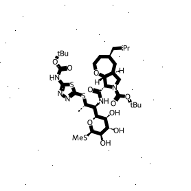 CS[C@H]1O[C@H]([C@H](NC(=O)[C@@H]2[C@@H]3OCC[C@@H](CC(C)C)C[C@H]3CN2C(=O)OC(C)(C)C)[C@H](C)Sc2nnc(NC(=O)OC(C)(C)C)s2)[C@H](O)[C@H](O)[C@H]1O